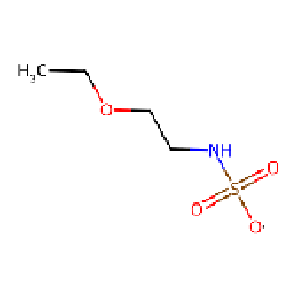 CCOCCNS([O])(=O)=O